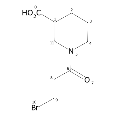 O=C(O)C1CCCN(C(=O)CCBr)C1